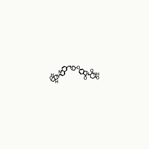 O=C1CCC(N2Cc3cc(O[C@H]4CCN(Cc5ccc6nc(N7C[C@H]8CCO[C@H]8C7)ccc6c5)C4)ccc3C2=O)C(=O)N1